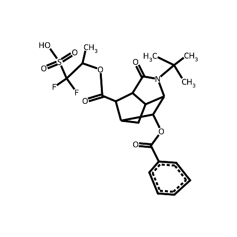 CC(OC(=O)C1C2CC3C1C(=O)N(C(C)(C)C)C3C2OC(=O)c1ccccc1)C(F)(F)S(=O)(=O)O